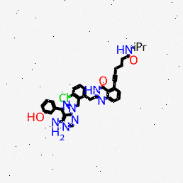 CC(C)NC(=O)CCCC#Cc1cccc2nc(Cc3cccc(Cl)c3Cn3nc(-c4cccc(O)c4)c4c(N)ncnc43)[nH]c(=O)c12